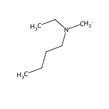 [CH2]N(CC)CCCC